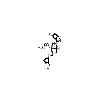 CS(=O)(=O)O.OCc1cccc(OC[C@@H]2CC[C@H]3CN(c4noc5ccc(F)cc45)CCN3C2)c1